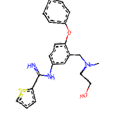 CN(CCO)Cc1cc(NC(=N)c2cccs2)ccc1Oc1ccccc1